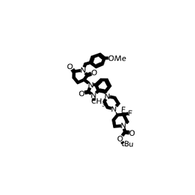 COc1ccc(CN2C(=O)CCC(n3c(=O)n(C)c4c(N5CCN([C@H]6CCN(C(=O)OC(C)(C)C)CC6(F)F)CC5)cccc43)C2=O)cc1